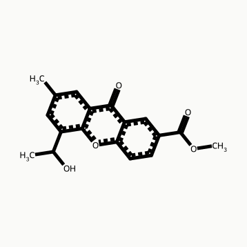 COC(=O)c1ccc2oc3c(C(C)O)cc(C)cc3c(=O)c2c1